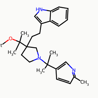 CCOC(C)(C)C1(CCc2c[nH]c3ccccc23)CCN(C(C)(C)c2ccc(C)nc2)C1